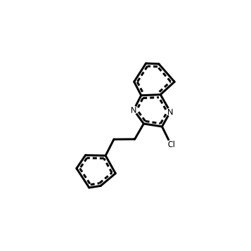 Clc1nc2ccccc2nc1CCc1ccccc1